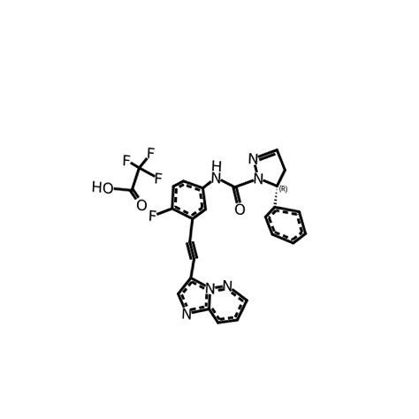 O=C(Nc1ccc(F)c(C#Cc2cnc3cccnn23)c1)N1N=CC[C@@H]1c1ccccc1.O=C(O)C(F)(F)F